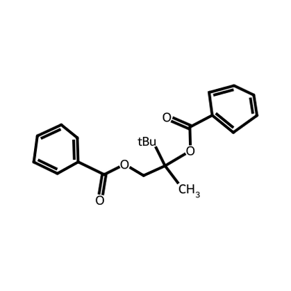 CC(C)(C)C(C)(COC(=O)c1ccccc1)OC(=O)c1ccccc1